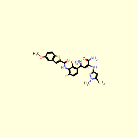 COc1ccc2sc(C(=O)Nc3c(F)ccc(C(=N)/C=C(/Nc4cc(C)n(C)n4)C(N)=O)c3C)cc2c1